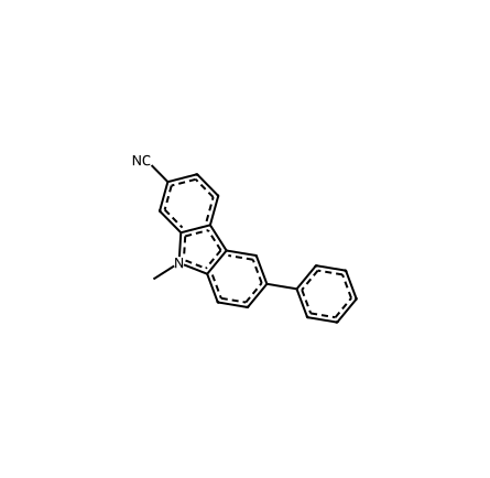 Cn1c2ccc(-c3ccccc3)cc2c2ccc(C#N)cc21